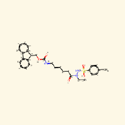 Cc1ccc(S(=O)(=O)NN(CC(C)C)C(=O)CCCCCNC(=O)OCC2c3ccccc3-c3ccccc32)cc1